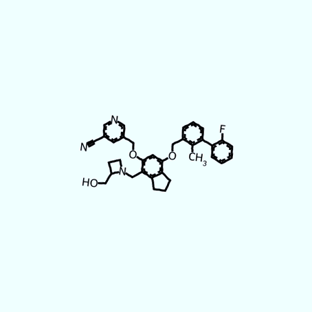 Cc1c(COc2cc(OCc3cncc(C#N)c3)c(CN3CCC3CO)c3c2CCC3)cccc1-c1ccccc1F